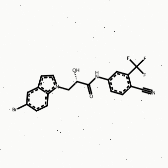 N#Cc1ccc(NC(=O)[C@@H](O)Cn2ccc3cc(Br)ccc32)cc1C(F)(F)F